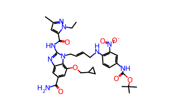 CCn1nc(C)cc1C(=O)Nc1nc2cc(C(N)=O)cc(OCC3CC3)c2n1CC=CCNc1ccc(NC(=O)OC(C)(C)C)cc1[N+](=O)[O-]